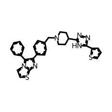 c1ccc(-c2c(-c3ccc(CN4CCC(c5nnc(-c6cccs6)[nH]5)CC4)cc3)nc3sccn23)cc1